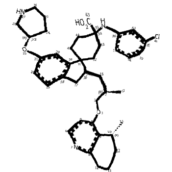 C[C@@H](COc1ccnc2c1[C@H](C)CCC2)CC1Cc2ccc(O[C@@H]3CCCNC3)cc2C12CCC(Nc1cccc(Cl)c1)(C(=O)O)CC2